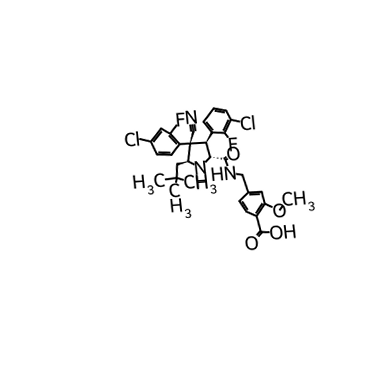 COc1cc(CNC(=O)[C@@H]2N[C@@H](CC(C)(C)C)[C@](C#N)(c3ccc(Cl)cc3F)[C@H]2c2cccc(Cl)c2F)ccc1C(=O)O